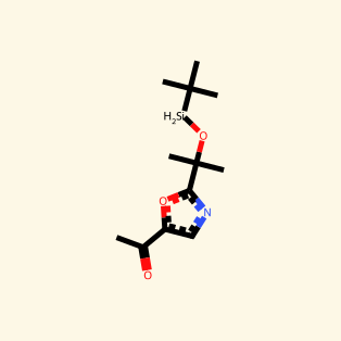 CC(=O)c1cnc(C(C)(C)O[SiH2]C(C)(C)C)o1